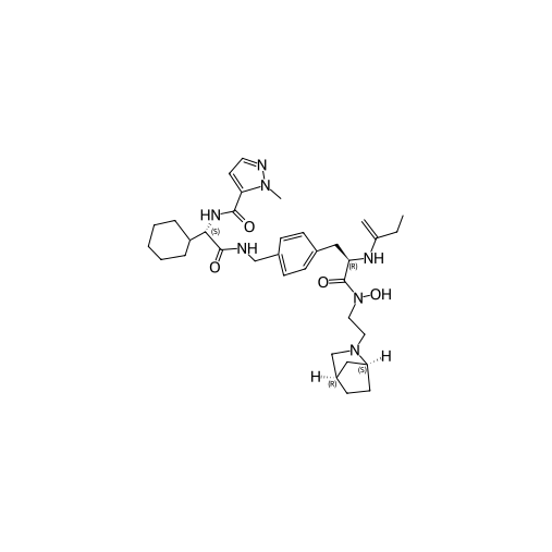 C=C(CC)N[C@H](Cc1ccc(CNC(=O)[C@@H](NC(=O)c2ccnn2C)C2CCCCC2)cc1)C(=O)N(O)CCN1C[C@@H]2CC[C@H]1C2